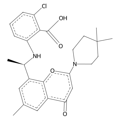 Cc1cc([C@@H](C)Nc2cccc(Cl)c2C(=O)O)c2oc(N3CCC(C)(C)CC3)cc(=O)c2c1